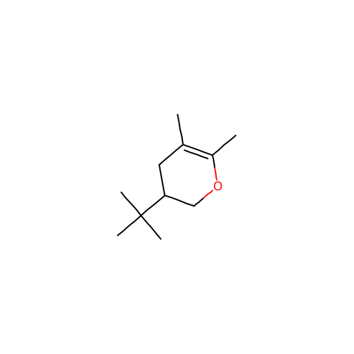 CC1=C(C)OCC(C(C)(C)C)C1